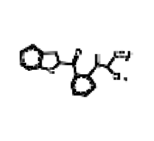 CC(Nc1ccccc1C(=O)C1Cc2ccccc2O1)C(=O)O